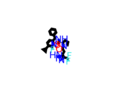 O=C(N[C@@H](c1ccccc1)c1ccc(C2CC2)c(F)n1)[C@@H]1CCCN1C(=O)Cc1[nH]nnc1C(F)F